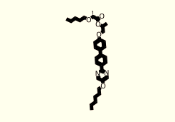 CCCCCCOc1cnc(-c2ccc(-c3ccc(OCC(C)OC(=O)[C@@H](C)OCCCCC)cc3)cc2)nc1